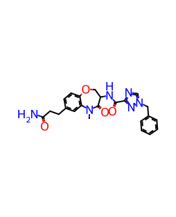 CN1C(=O)C(NC(=O)c2ncn(Cc3ccccc3)n2)COc2ccc(CCC(N)=O)cc21